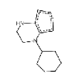 c1ccc2c(c1)NCCN2C1CCCCC1